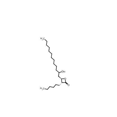 CCCCCCCCCCCC(O)C[C@H]1OC(=O)[C@@H]1CCCCCC